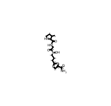 CC1CCNC1C(=O)NCC(=O)N(O)CCCc1nc(C(N)=O)cs1